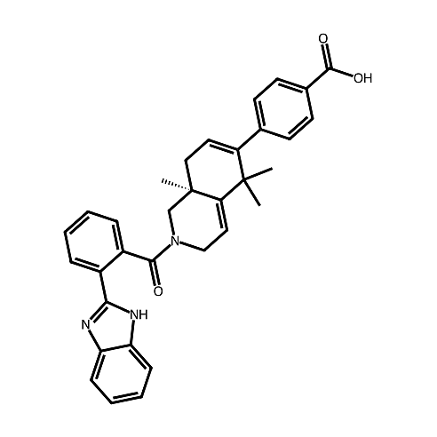 CC1(C)C(c2ccc(C(=O)O)cc2)=CC[C@]2(C)CN(C(=O)c3ccccc3-c3nc4ccccc4[nH]3)CC=C12